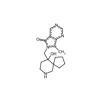 Cn1c2ncncc2c(=O)n1CC1(O)CCNCC12CCCC2